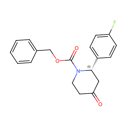 O=C1CCN(C(=O)OCc2ccccc2)[C@H](c2ccc(F)cc2)C1